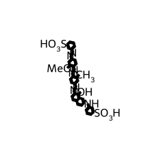 COc1cc(N=Nc2cccc(S(=O)(=O)O)c2)ccc1N=Nc1ccc(N=Nc2ccc3ccc(Nc4cccc(S(=O)(=O)O)c4)cc3c2O)cc1C